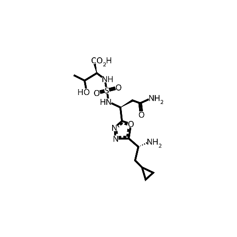 CC(O)[C@H](NS(=O)(=O)N[C@@H](CC(N)=O)c1nnc([C@H](N)CC2CC2)o1)C(=O)O